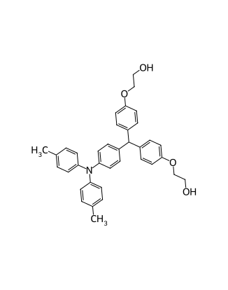 Cc1ccc(N(c2ccc(C)cc2)c2ccc(C(c3ccc(OCCO)cc3)c3ccc(OCCO)cc3)cc2)cc1